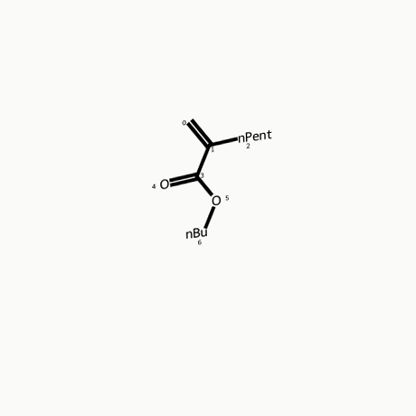 C=C(CCCCC)C(=O)OCCCC